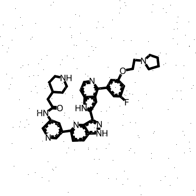 O=C(CC1CCNCC1)Nc1cncc(-c2ccc3[nH]nc(-c4cc5c(-c6cc(F)cc(OCCN7CCCC7)c6)nccc5[nH]4)c3n2)c1